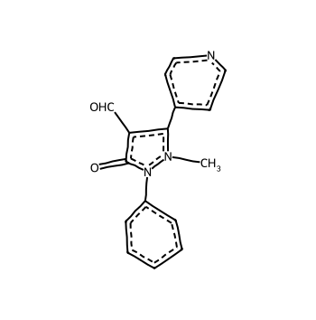 Cn1c(-c2ccncc2)c(C=O)c(=O)n1-c1ccccc1